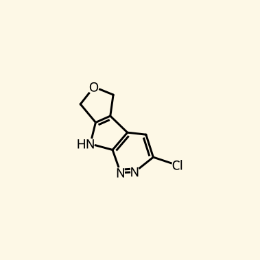 Clc1cc2c3c([nH]c2nn1)COC3